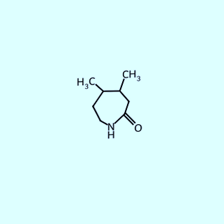 CC1CCNC(=O)CC1C